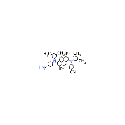 Cc1cc(C)cc(N(c2ccc(C#N)cc2)c2cc(C(C)C)c3ccc4c(N(c5ccc([C@@H]6CN6)cc5)c5cc(C)cc(C)c5)cc(C(C)C)c5ccc2c3c54)c1